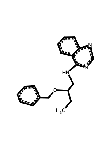 CCC(CNc1ncnc2ccccc12)OCc1ccccc1